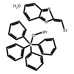 CCC=C1N=c2ccccc2=N1.CCCOP(c1ccccc1)(c1ccccc1)(c1ccccc1)c1ccccc1.O